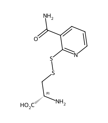 NC(=O)c1cccnc1SSC[C@H](N)C(=O)O